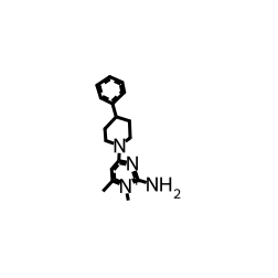 Cc1cc(N2CCC(c3ccccc3)CC2)nc(N)[n+]1C